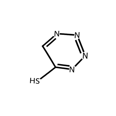 Sc1cnnnn1